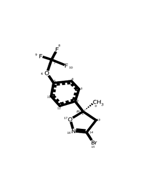 C[C@]1(c2ccc(OC(F)(F)F)cc2)CC(Br)=NO1